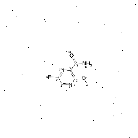 COc1ncc(F)nc1C(N)=O